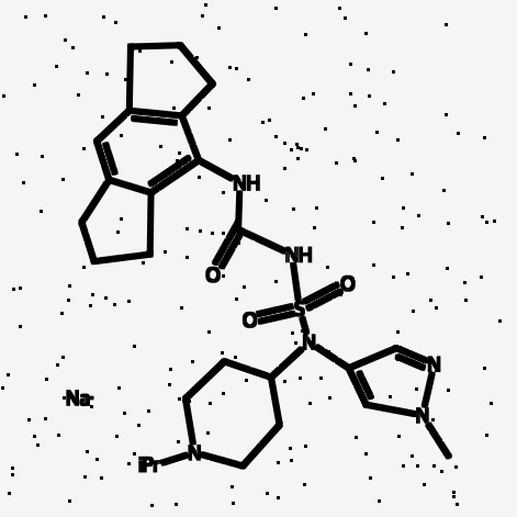 CC(C)N1CCC(N(c2cnn(C)c2)S(=O)(=O)NC(=O)Nc2c3c(cc4c2CCC4)CCC3)CC1.[Na]